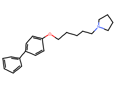 c1ccc(-c2ccc(OCCCCCN3CCCC3)cc2)cc1